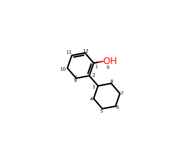 OC1=C(C2CCCCC2)[CH]CC=C1